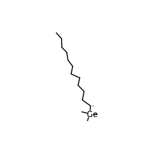 CCCCCCCCCCC[CH][Ge]([CH3])([CH3])[CH3]